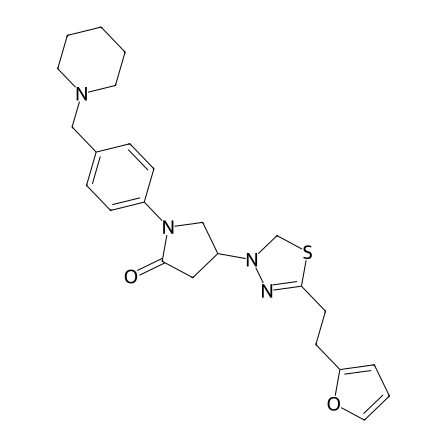 O=C1CC(N2CSC(CCc3ccco3)=N2)CN1c1ccc(CN2CCCCC2)cc1